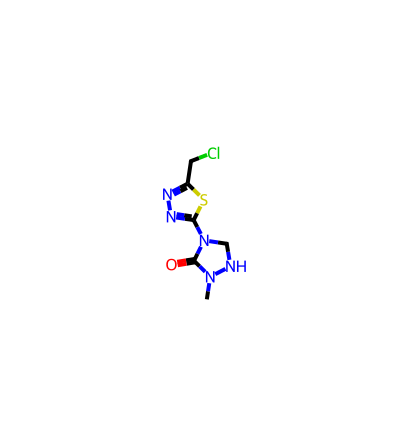 CN1NCN(c2nnc(CCl)s2)C1=O